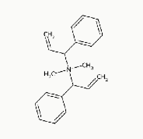 C=CC(c1ccccc1)[N+](C)(C)C(C=C)c1ccccc1